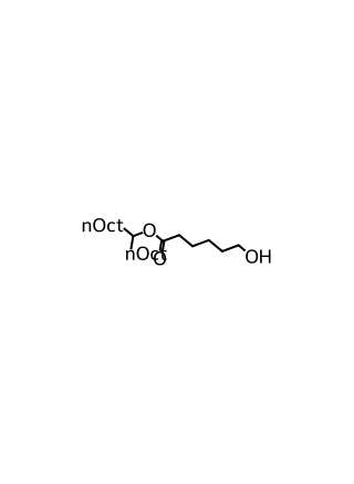 CCCCCCCCC(CCCCCCCC)OC(=O)CCCCCO